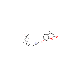 BC(C)(C)CC(C)(C)CC(C)(C)C/C=C/COc1ccc2c(C)cc(=O)oc2c1